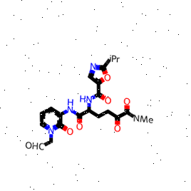 CNC(=O)C(=O)CCC(NC(=O)c1cnc(C(C)C)o1)C(=O)Nc1cccn(CC=O)c1=O